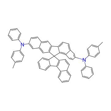 Cc1ccc(N(c2ccccc2)c2ccc3cc4c(cc3c2)C2(c3ccccc3-c3c2ccc2ccccc32)c2c-4ccc3cc(N(c4ccccc4)c4ccc(C)cc4)ccc23)cc1